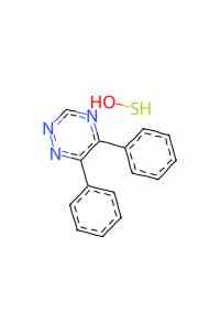 OS.c1ccc(-c2ncnnc2-c2ccccc2)cc1